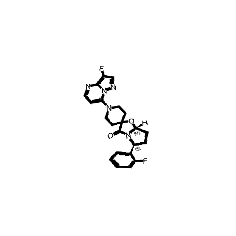 O=C1N2[C@@H](CC[C@H]2c2ccccc2F)OC12CCN(c1ccnc3c(F)cnn13)CC2